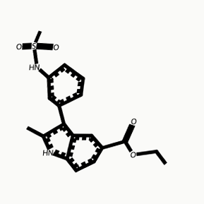 CCOC(=O)c1ccc2[nH]c(C)c(-c3cccc(NS(C)(=O)=O)c3)c2c1